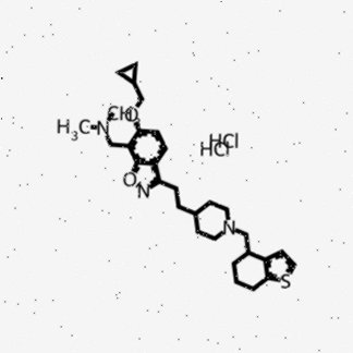 CN(C)Cc1c(OCC2CC2)ccc2c(CCC3CCN(CC4CCCc5sccc54)CC3)noc12.Cl.Cl